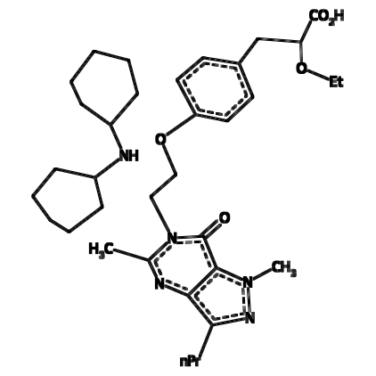 C1CCC(NC2CCCCC2)CC1.CCCc1nn(C)c2c(=O)n(CCOc3ccc(CC(OCC)C(=O)O)cc3)c(C)nc12